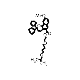 C=C(C)COCCCCOCCOC(=O)c1cc2ccc(OC)cc2c2c1C=CC(c1ccccc1)(c1ccccc1)O2